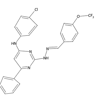 FC(F)(F)Oc1ccc(C=NNc2nc(Nc3ccc(Cl)cc3)cc(-c3ccccc3)n2)cc1